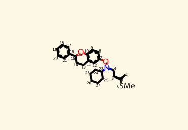 CSC(C)CCN(Oc1ccc2c(c1)CCC(c1ccccc1)O2)C1CCCCC1